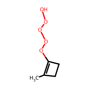 CC1=C(OOOOO)CC1